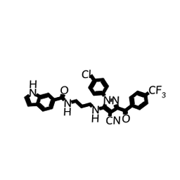 N#Cc1c(C(=O)c2ccc(C(F)(F)F)cc2)nn(-c2ccc(Cl)cc2)c1NCCCNC(=O)c1ccc2cc[nH]c2c1